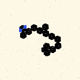 CC1(C)c2cccc3c4ccc(-c5cccc(-c6cccc(-c7ccc(-c8ccc9c%10ccc(-c%11cccc(-c%12ccc%13c%14ccccc%14c%14nccnc%14c%13c%12)c%11)cc%10c%10ccccc%10c9c8)cc7)c6)c5)cc4c4cccc1c4c23